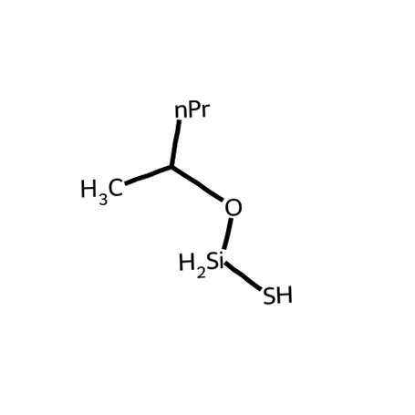 CCCC(C)O[SiH2]S